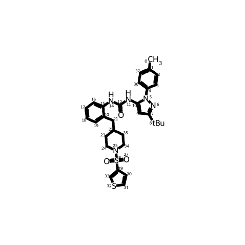 Cc1ccc(-n2nc(C(C)(C)C)cc2NC(=O)Nc2ccccc2CC2CCN(S(=O)(=O)c3ccsc3)CC2)cc1